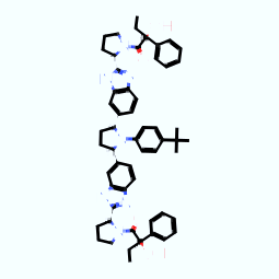 CC[C@](O)(C(=O)N1CCC[C@H]1c1nc2ccc([C@H]3CC[C@H](c4ccc5nc([C@@H]6CCCN6C(=O)[C@@](O)(CC)c6ccccc6)[nH]c5c4)N3c3ccc(C(C)(C)C)cc3)cc2[nH]1)c1ccccc1